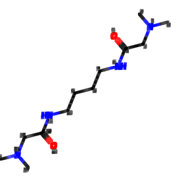 CN(C)CC(=O)NCCCCNC(=O)CN(C)C